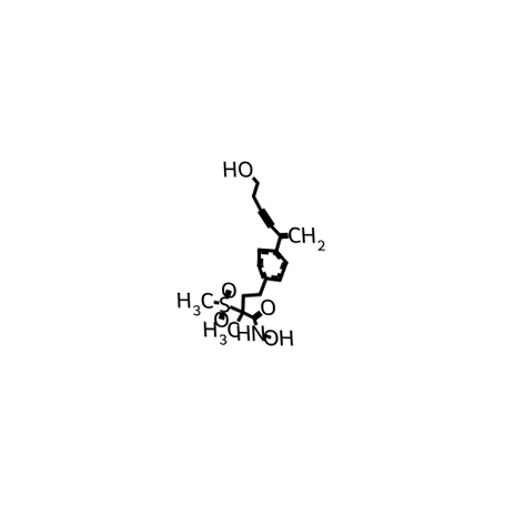 C=C(C#CCCO)c1ccc(CCC(C)(C(=O)NO)S(C)(=O)=O)cc1